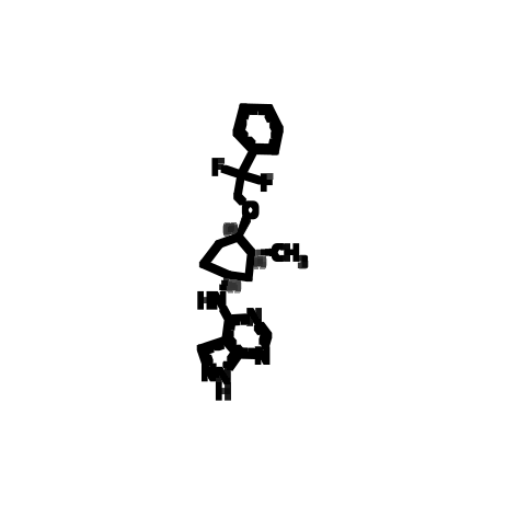 C[C@@H]1C[C@H](Nc2ncnc3[nH]ncc23)CC[C@H]1OCC(F)(F)c1ccccc1